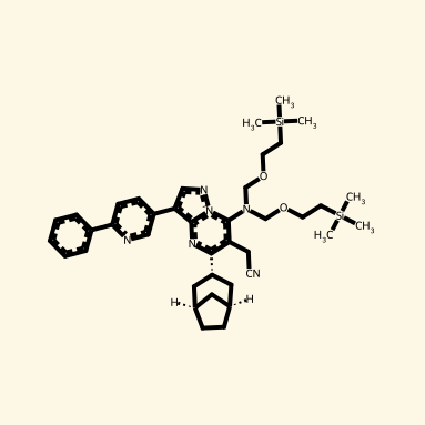 C[Si](C)(C)CCOCN(COCC[Si](C)(C)C)c1c(CC#N)c([C@H]2C[C@@H]3CC[C@@H](C3)C2)nc2c(-c3ccc(-c4ccccc4)nc3)cnn12